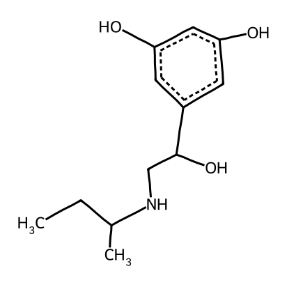 CCC(C)NCC(O)c1cc(O)cc(O)c1